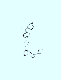 Cn1cc(-c2cc3c(N4CCN(c5ncc([C@@H](N)c6ccc(F)cc6)cn5)CC4)ncnn3c2)cn1